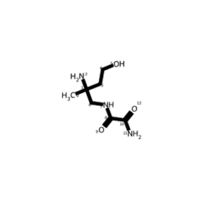 CC(N)(CCO)CNC(=O)C(N)=O